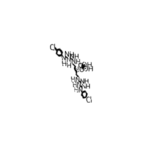 N=C(NCCCCCCNC(=N)NC(=N)Nc1ccc(Cl)cc1)NC(=N)Nc1ccc(Cl)cc1.O=P(O)(O)O